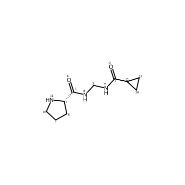 O=C(NCNC(=O)[C@@H]1CCCN1)C1CC1